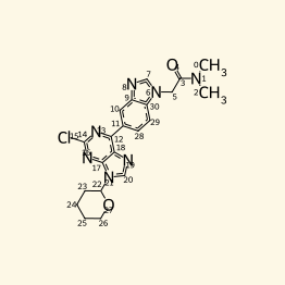 CN(C)C(=O)Cn1cnc2cc(-c3nc(Cl)nc4c3ncn4C3CCCCO3)ccc21